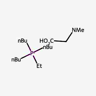 CCCC[P](CC)(CCCC)CCCC.CNCC(=O)O